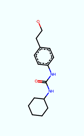 [O]CCc1ccc(NC(=O)NC2CCCCC2)cc1